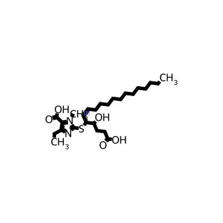 CCCCCCCCCCCC/C=C\C(Sc1nc(CC)c(C(=O)O)n1C)C(O)CCC(=O)O